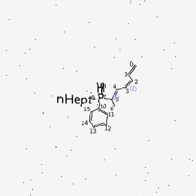 C=C/C=C\C=C(/C)[PH](I)(CCCCCCC)c1ccccc1